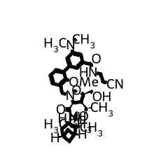 COc1c(CN2O[C@@H](CO)[C@@H]([C@H](C)O)[C@H]2C(=O)N[C@H]2C[C@H]3C[C@@H]([C@@H]2C)C3(C)C)cccc1-c1cc(C(=O)NCCC#N)cc(N(C)C)c1